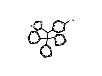 N#Cc1ccc(C(c2c[nH]cn2)C(c2ccccc2)(c2ccccc2)c2ccccc2)cc1